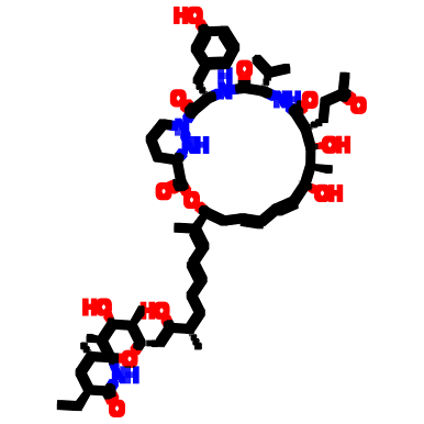 CC[C@H]1C[C@H](C)[C@@]2(NC1=O)O[C@@H](CC(O)[C@@H](C)CC/C=C/C=C(\C)[C@@H]1C/C=C/C=C/[C@H](O)[C@H](C)[C@@H](O)[C@@H](CCC(C)=O)C(=O)N[C@@H](C(C)C)C(=O)N[C@@H](Cc3cccc(O)c3)C(=O)N3CCCC(N3)C(=O)O1)[C@H](C)[C@H](O)[C@@H]2C